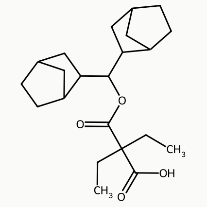 CCC(CC)(C(=O)O)C(=O)OC(C1CC2CCC1C2)C1CC2CCC1C2